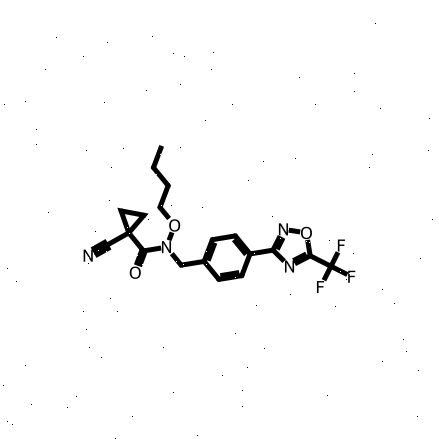 CCCCON(Cc1ccc(-c2noc(C(F)(F)F)n2)cc1)C(=O)C1(C#N)CC1